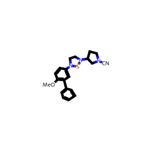 COc1ccc(N2CCN(C3CCN(C#N)C3)S2)cc1-c1ccccc1